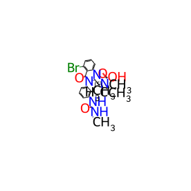 CCNC(=O)Nc1cccc(-n2c([C@H](C)N(C(=O)O)C(C)(C)C)nc3cccc(Br)c3c2=O)c1